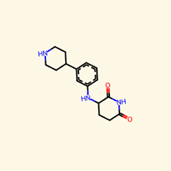 O=C1CCC(Nc2cccc(C3CCNCC3)c2)C(=O)N1